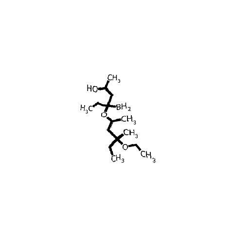 BC(CC)(CC(C)O)OC(C)CC(C)(CC)OCC